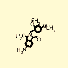 COc1ccc(CN2C(C)c3cc(N)ccc3C2C=O)c(OC)c1